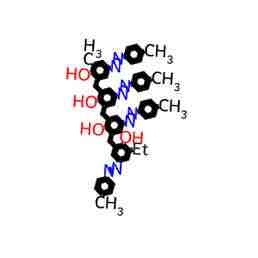 CCc1cc(N=Nc2ccc(C)cc2)cc(Cc2cc(N=Nc3ccc(C)cc3)cc(Cc3cc(N=Nc4ccc(C)cc4)cc(Cc4cc(N=Nc5ccc(C)cc5)cc(C)c4O)c3O)c2O)c1O